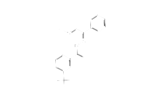 O=C(NN=C(C=NO)c1ccccc1)c1cccc(C(F)(F)F)c1